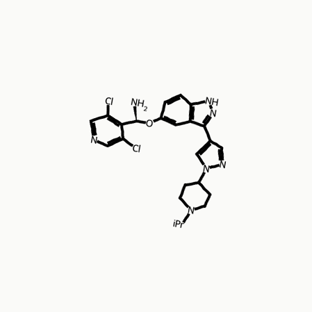 CC(C)N1CCC(n2cc(-c3n[nH]c4ccc(O[C@H](N)c5c(Cl)cncc5Cl)cc34)cn2)CC1